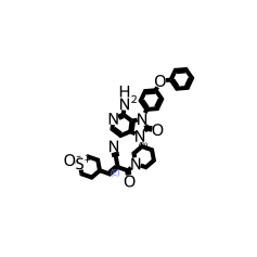 N#C/C(=C\C1CC[S+]([O-])CC1)C(=O)N1CCC[C@@H](n2c(=O)n(-c3ccc(Oc4ccccc4)cc3)c3c(N)nccc32)C1